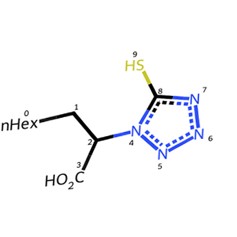 CCCCCCCC(C(=O)O)n1nnnc1S